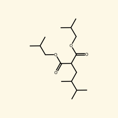 CC(C)COC(=O)C(CC(C)C(C)C)C(=O)OCC(C)C